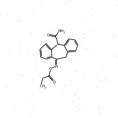 CCC(=O)O/N=C1/Cc2ccccc2N(C(N)=O)c2ccccc21